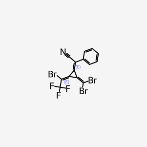 N#C/C(=C1/C(=C(Br)Br)/C1=C(/Br)C(F)(F)F)c1ccccc1